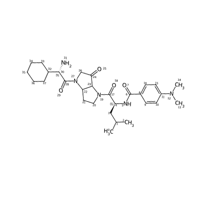 CC(C)C[C@H](NC(=O)c1ccc(N(C)C)cc1)C(=O)N1CCC2C1C(=O)CN2C(=O)[C@@H](N)C1CCCCC1